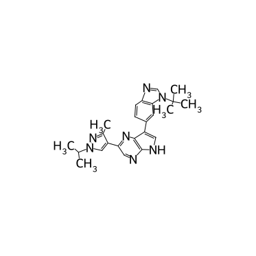 Cc1nn(C(C)C)cc1-c1cnc2[nH]cc(-c3ccc4ncn(C(C)(C)C)c4c3)c2n1